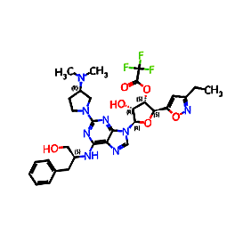 CCc1cc([C@H]2O[C@@H](n3cnc4c(N[C@H](CO)Cc5ccccc5)nc(N5CC[C@@H](N(C)C)C5)nc43)[C@H](O)[C@@H]2OC(=O)C(F)(F)F)on1